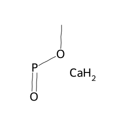 COP=O.[CaH2]